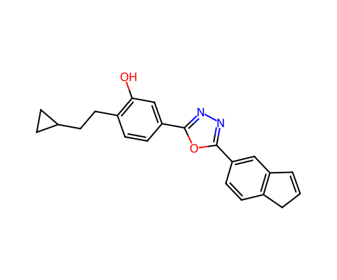 Oc1cc(-c2nnc(-c3ccc4c(c3)C=CC4)o2)ccc1CCC1CC1